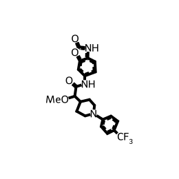 COC(C(=O)Nc1ccc2[nH]c(=O)oc2c1)C1CCN(c2ccc(C(F)(F)F)cc2)CC1